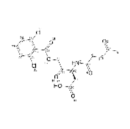 CC(=O)SCC(=O)N[C@@H](CC(=O)O)C(=O)COC(=O)c1c(Cl)cccc1Cl